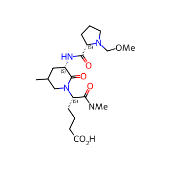 CNC(=O)[C@H](CCCC(=O)O)N1CC(C)C[C@H](NC(=O)[C@@H]2CCCN2COC)C1=O